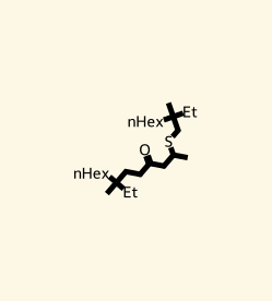 CCCCCCC(C)(CC)CCC(=O)CC(C)SCC(C)(CC)CCCCCC